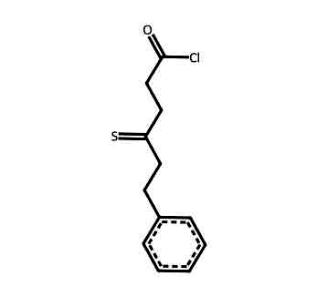 O=C(Cl)CCC(=S)CCc1ccccc1